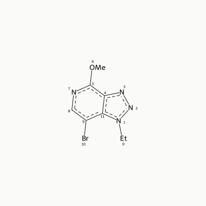 CCn1nnc2c(OC)ncc(Br)c21